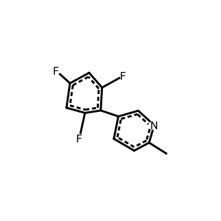 Cc1ccc(-c2c(F)cc(F)cc2F)cn1